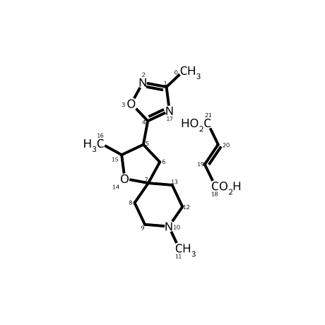 Cc1noc(C2CC3(CCN(C)CC3)OC2C)n1.O=C(O)C=CC(=O)O